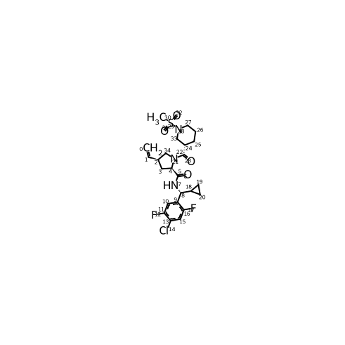 C=C[C@@H]1C[C@H](C(=O)N[C@@H](c2cc(F)c(Cl)cc2F)C2CC2)N(C(=O)[C@H]2CCCN(S(C)(=O)=O)C2)C1